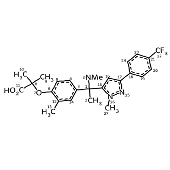 CNC(C)(c1ccc(OC(C)(C)C(=O)O)c(C)c1)c1cc(-c2ccc(C(F)(F)F)cc2)nn1C